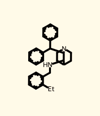 CCc1ccccc1CNC1C2CCN(CC2)C1C(c1ccccc1)c1ccccc1